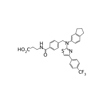 O=C(O)CCNC(=O)c1ccc(CN(c2ccc3c(c2)CCC3)c2nc(-c3ccc(C(F)(F)F)cc3)cs2)cc1